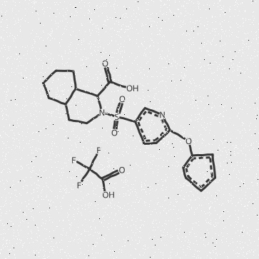 O=C(O)C(F)(F)F.O=C(O)C1C2CCCCC2CCN1S(=O)(=O)c1ccc(Oc2ccccc2)nc1